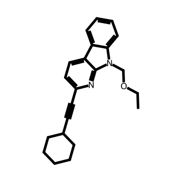 CCOCn1c2ccccc2c2ccc(C#CC3CCCCC3)nc21